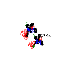 CC(C)c1c(C(=O)Nc2ccccc2)c(-c2ccccc2)c(-c2ccc(F)cc2)n1CC[C@@H](O)C[C@@H](O)C(F)C(=O)[O-].CC(C)c1c(C(=O)Nc2ccccc2)c(-c2ccccc2)c(-c2ccc(F)cc2)n1CC[C@@H](O)C[C@@H](O)CC(=O)[O-].[Ca+2]